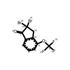 O=C1c2cccc(OC(F)(F)F)c2CC1(Br)Br